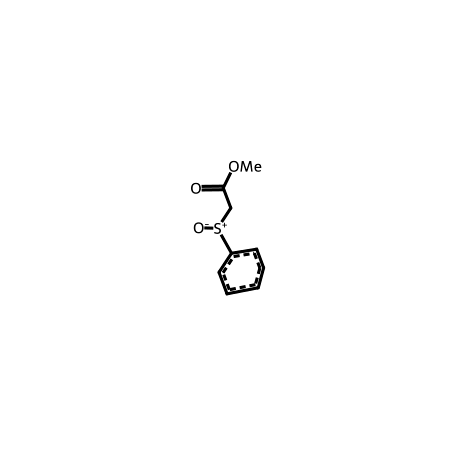 COC(=O)C[S+]([O-])c1ccccc1